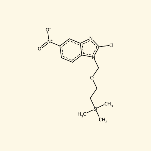 C[Si](C)(C)CCOCn1c(Cl)nc2cc([N+](=O)[O-])ccc21